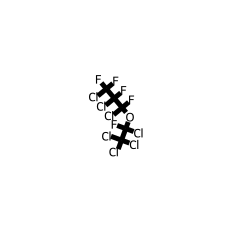 FC(F)(Cl)C(F)(Cl)C(F)(Cl)OC(F)(Cl)C(Cl)(Cl)Cl